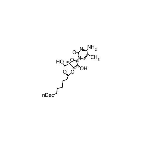 CCCCCCCCCCCCCCCC(=O)O[C@H]1[C@H](O)[C@H](n2cc(C)c(N)nc2=O)O[C@@H]1CO